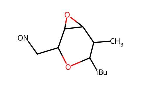 CCC(C)C1OC(CN=O)C2OC2C1C